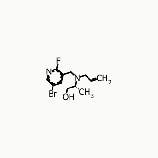 C=CCN(Cc1cc(Br)cnc1F)[C@H](C)CO